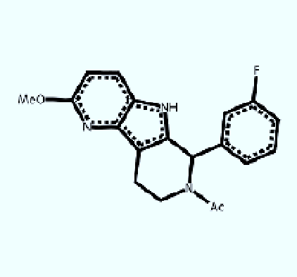 COc1ccc2[nH]c3c(c2n1)CCN(C(C)=O)C3c1cccc(F)c1